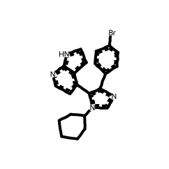 Brc1ccc(-c2ncn(C3CCCCC3)c2-c2ccnc3[nH]ccc23)cc1